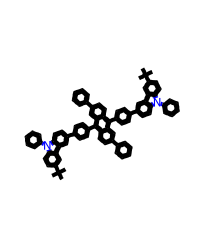 CC(C)(C)c1ccc2c(c1)c1cc(-c3ccc(-c4c5ccc(-c6ccccc6)cc5c(-c5ccc(-c6ccc7c(c6)c6cc(C(C)(C)C)ccc6n7-c6ccccc6)cc5)c5ccc(-c6ccccc6)cc45)cc3)ccc1n2-c1ccccc1